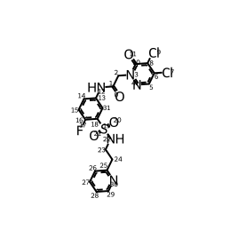 O=C(Cn1ncc(Cl)c(Cl)c1=O)Nc1ccc(F)c(S(=O)(=O)NCCc2ccccn2)c1